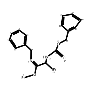 CCO/C(=N/Cc1ccccc1)C(NC(=O)OCc1ccccc1)C(C)C